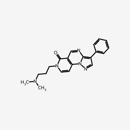 CN(C)CCCn1ccc2c(cnc3c(-c4ccccc4)cnn32)c1=O